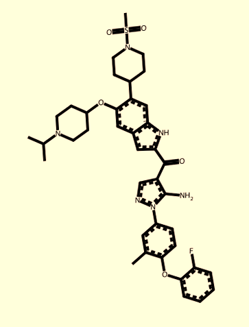 Cc1cc(-n2ncc(C(=O)c3cc4cc(OC5CCN(C(C)C)CC5)c(C5CCN(S(C)(=O)=O)CC5)cc4[nH]3)c2N)ccc1Oc1ccccc1F